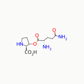 NC(=O)CC[C@H](N)C(=O)OC1CCN[C@@H]1C(=O)O